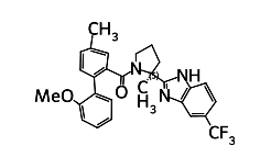 COc1ccccc1-c1ccc(C)cc1C(=O)N1CCC[C@@]1(C)c1nc2cc(C(F)(F)F)ccc2[nH]1